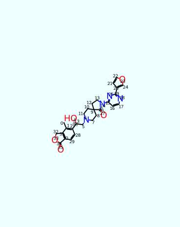 Cc1c([C@@H](O)CN2CCC3(CC2)CCN(c2ccnc(-c4ccoc4)n2)C3=O)ccc2c1COC2=O